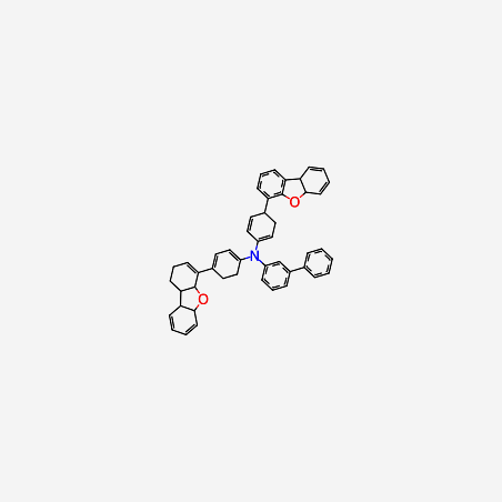 C1=CC2Oc3c(C4C=CC(N(C5=CC=C(C6=CCCC7C6OC6C=CC=CC67)CC5)c5cccc(-c6ccccc6)c5)=CC4)cccc3C2C=C1